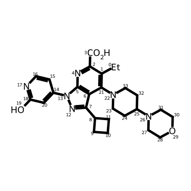 CCc1c(C(=O)O)nc2c(c(C3CCC3)nn2-c2ccnc(O)c2)c1N1CCC(N2CCOCC2)CC1